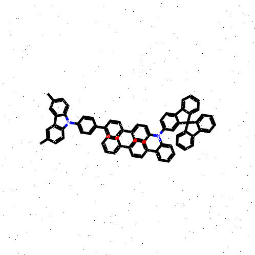 Cc1ccc2c(c1)c1cc(C)ccc1n2-c1ccc(-c2ccc(-c3ccc(N(c4ccc5c(c4)C4(c6ccccc6-c6ccccc64)c4ccccc4-5)c4ccccc4-c4ccc(-c5ccccc5)cc4)cc3)cc2)cc1